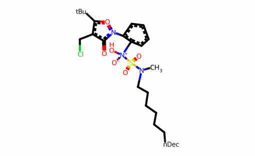 CCCCCCCCCCCCCCCCN(C)S(=O)(=O)[N+]([O-])(O)c1ccccc1-n1oc(C(C)(C)C)c(CCl)c1=O